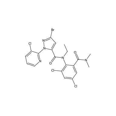 CCN(C(=O)c1cc(Br)nn1-c1ncccc1Cl)c1c(Cl)cc(Cl)cc1C(=O)N(C)C